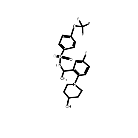 CC(NS(=O)(=O)c1ccc(OC(F)(F)F)cc1)c1cc(F)ccc1N1CCC(O)CC1